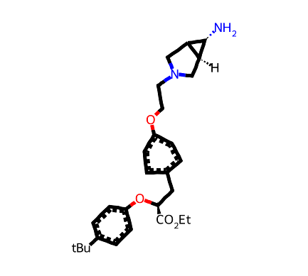 CCOC(=O)[C@H](Cc1ccc(OCCN2CC3[C@H](N)[C@H]3C2)cc1)Oc1ccc(C(C)(C)C)cc1